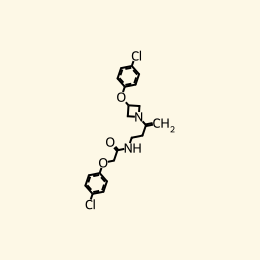 C=C(CCNC(=O)COc1ccc(Cl)cc1)N1CC(Oc2ccc(Cl)cc2)C1